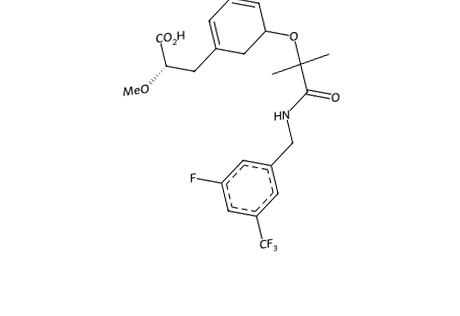 CO[C@@H](CC1=CC=CC(OC(C)(C)C(=O)NCc2cc(F)cc(C(F)(F)F)c2)C1)C(=O)O